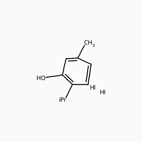 Cc1ccc(C(C)C)c(O)c1.I.I